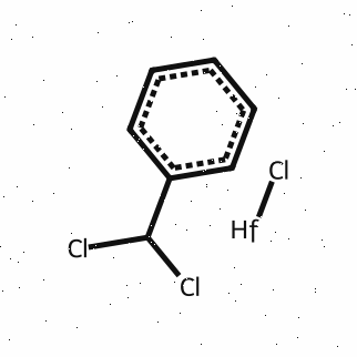 ClC(Cl)c1ccccc1.[Cl][Hf]